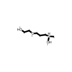 C[SiH](O)CCCOCCO